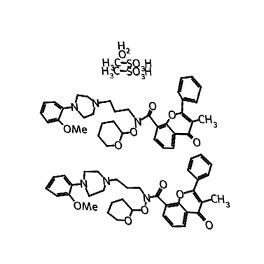 COc1ccccc1N1CCN(CCCN(OC2CCCCO2)C(=O)c2cccc3c(=O)c(C)c(-c4ccccc4)oc23)CC1.COc1ccccc1N1CCN(CCCN(OC2CCCCO2)C(=O)c2cccc3c(=O)c(C)c(-c4ccccc4)oc23)CC1.CS(=O)(=O)O.CS(=O)(=O)O.O